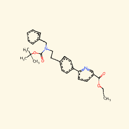 CCOC(=O)c1ccc(-c2ccc(CCN(Cc3ccccc3)C(=O)OC(C)(C)C)cc2)nc1